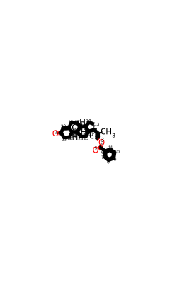 C[C@H](COC(=O)c1ccccc1)[C@H]1CC[C@H]2[C@@H]3CCC4=CC(=O)CC[C@]4(C)[C@H]3CC[C@]12C